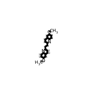 COc1ccc2nc(C=Cc3ccc4cc(OC)ccc4n3)ccc2c1